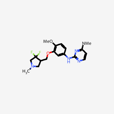 CNc1ccnc(Nc2ccc(OC)c(OCC3CN(C)CC3(F)F)c2)n1